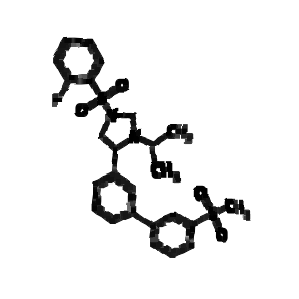 CC(C)N1CN(S(=O)(=O)c2ccccc2F)CC1c1cccc(-c2cccc(S(C)(=O)=O)c2)c1